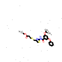 CCOC(=O)CCSCc1csc(NC(=O)c2cc(Oc3ccccc3)cc(OC(C)C)c2)n1